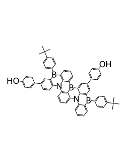 CC(C)(C)c1ccc(B2c3cc(-c4ccc(O)cc4)ccc3N3c4cccc5c4B(c4cccc2c43)c2cc(-c3ccc(O)cc3)cc3c2N5c2ccccc2B3c2ccc(C(C)(C)C)cc2)cc1